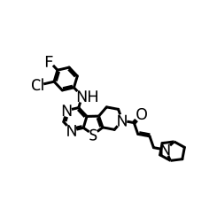 O=C(/C=C/CN1C2CCC1CC2)N1CCc2c(sc3ncnc(Nc4ccc(F)c(Cl)c4)c23)C1